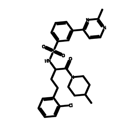 Cc1nccc(-c2cccc(S(=O)(=O)NC(CCc3ccccc3Cl)C(=O)N3CCC(C)CC3)c2)n1